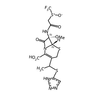 CO[C@@]1(NC(=O)C[S+]([O-])C(F)(F)F)C(=O)N2C(C(=O)O)=C(C(C)Sc3cnn[nH]3)CS[C@H]21